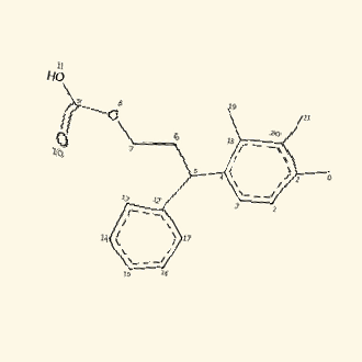 Cc1ccc(C(CCOC(=O)O)c2ccccc2)c(C)c1C